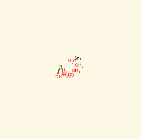 O.O.O.O.O.O.OCl.[Sm]